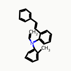 C=CN(c1ccccc1C)c1ccccc1C=Cc1ccccc1